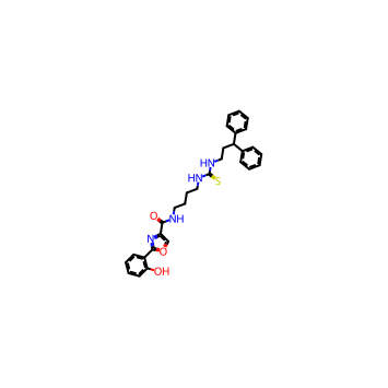 O=C(NCCCCNC(=S)NCCC(c1ccccc1)c1ccccc1)c1coc(-c2ccccc2O)n1